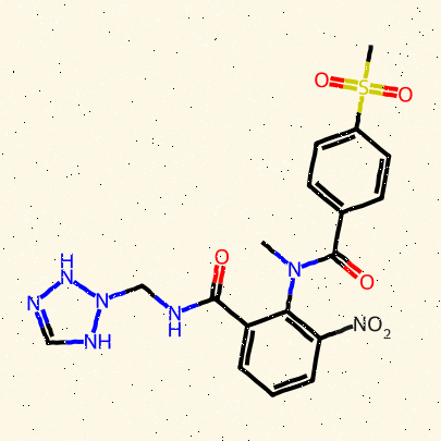 CN(C(=O)c1ccc(S(C)(=O)=O)cc1)c1c(C(=O)NCN2NC=NN2)cccc1[N+](=O)[O-]